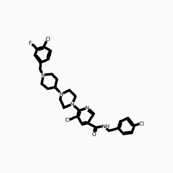 O=C(NCc1ccc(Cl)cc1)c1cnc(N2CCN(C3CCN(Cc4ccc(Cl)c(F)c4)CC3)CC2)c(Cl)c1